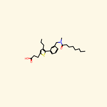 CCCCCCCC(=O)N(C)Cc1cccc(-c2sc(CCC(=O)O)cc2CCC)c1